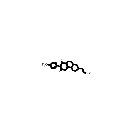 CCCC=CC1CCC2c3cc(F)c(-c4ccc(C(F)(F)F)cc4)c(F)c3CCC2C1